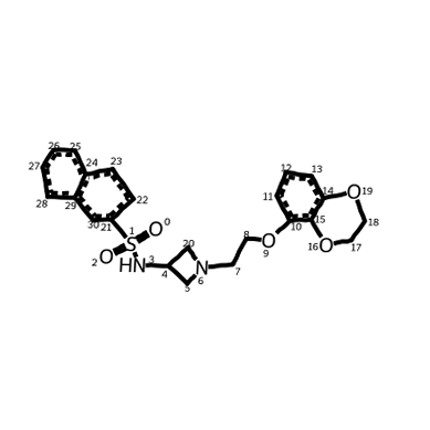 O=S(=O)(NC1CN(CCOc2cccc3c2OCCO3)C1)c1ccc2ccccc2c1